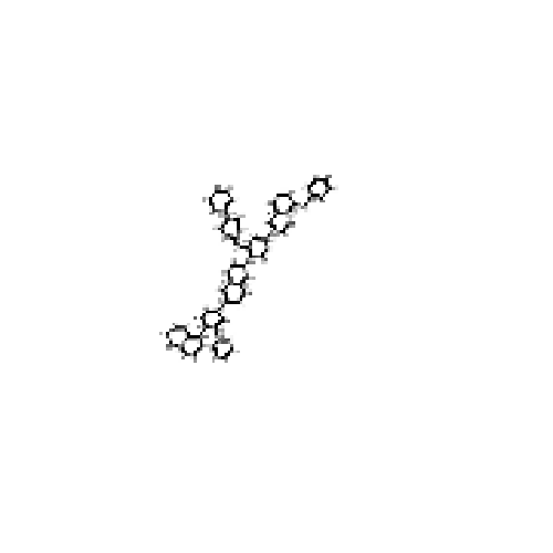 C1=Cc2c(ccc3c4ccccc4c4cc(-c5ccc6cc(-c7ccc(-c8ccc9c(Cc%10ccccc%10)cccc9c8)cc7Oc7ccc(-c8ccccc8)cc7)ccc6c5)ccc4c23)CC1